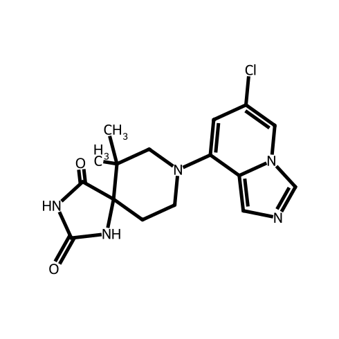 CC1(C)CN(c2cc(Cl)cn3cncc23)CCC12NC(=O)NC2=O